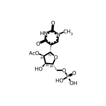 CC(=O)O[C@@H]1[C@H](O)[C@@H](COP(=O)(O)O)O[C@H]1c1cn(C)c(=O)[nH]c1=O